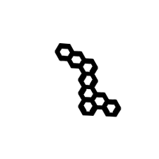 C1=Cc2cc3ccc4cc5c(cc6cccc7c8ccccc8cc5c67)cc4c3cc2=CC1